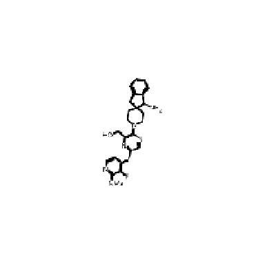 CNc1nccc(Sc2cnc(N3CCC4(CC3)Cc3ccccc3[C@H]4N)c(CO)n2)c1F